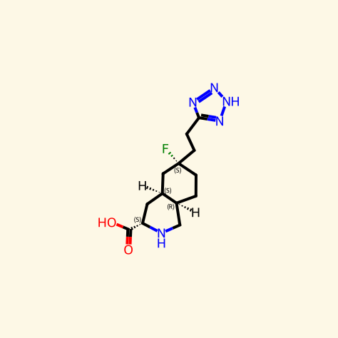 O=C(O)[C@@H]1C[C@H]2C[C@@](F)(CCc3nn[nH]n3)CC[C@H]2CN1